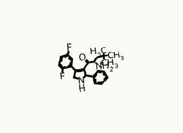 CC(C)(C)C[C@H](N)C(=O)C1=C(c2cc(F)ccc2F)CNC1c1ccccc1